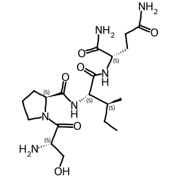 CC[C@H](C)[C@H](NC(=O)[C@@H]1CCCN1C(=O)[C@@H](N)CO)C(=O)N[C@@H](CCC(N)=O)C(N)=O